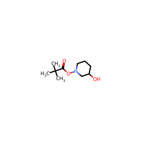 CC(C)(C)C(=O)ON1CCCC(O)C1